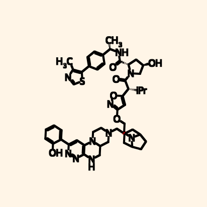 Cc1ncsc1-c1ccc([C@H](C)NC(=O)[C@@H]2C[C@@H](O)CN2C(=O)[C@@H](c2cc(OCCN3C4CCC3CC(CN3CCN5c6cc(-c7ccccc7O)nnc6NCC5C3)C4)no2)C(C)C)cc1